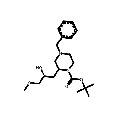 COC[C@@H](O)CC1CN(Cc2ccccc2)CCN1C(=O)OC(C)(C)C